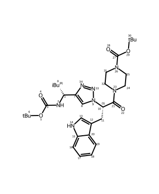 CC[C@@H](C)C(NC(=O)OC(C)(C)C)c1cn([C@@H](Cc2c[nH]c3ccccc23)C(=O)N2CCN(C(=O)OC(C)(C)C)CC2)nn1